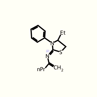 C=C(CCC)/N=C1\SCC(CC)N1c1ccccc1